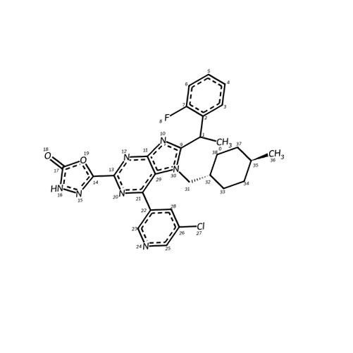 CC(c1ccccc1F)c1nc2nc(-c3n[nH]c(=O)o3)nc(-c3cncc(Cl)c3)c2n1C[C@H]1CC[C@H](C)CC1